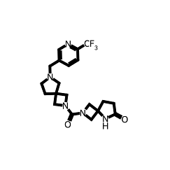 O=C1CCC2(CN(C(=O)N3CC4(CCN(Cc5ccc(C(F)(F)F)nc5)C4)C3)C2)N1